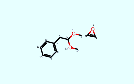 C1=CO1.COC(Cc1ccccc1)OC